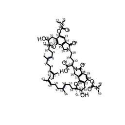 CC(C)=CCC/C(C)=C/CC[C@@]1(C)Oc2c(c(OC(=O)N(C)C)cc3c2CN(CCCC(C(=O)O)N2Cc4c(cc(OC(=O)N(C)C)c5c4O[C@](C)(CC/C=C(\C)CCC=C(C)C)[C@@H](O)C5)C2=O)C3=O)C[C@@H]1O